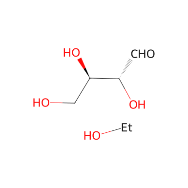 CCO.O=C[C@H](O)[C@H](O)CO